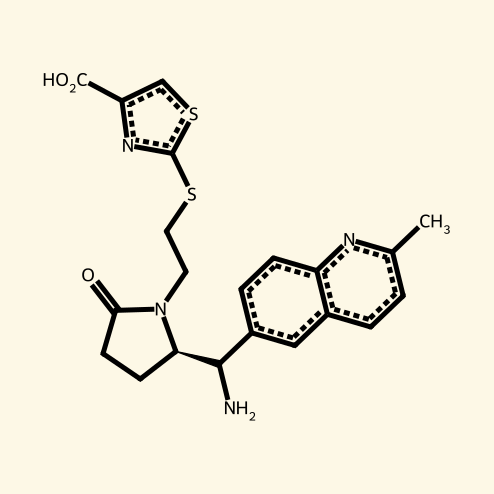 Cc1ccc2cc(C(N)[C@H]3CCC(=O)N3CCSc3nc(C(=O)O)cs3)ccc2n1